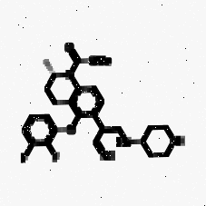 COC(=O)N1c2ccc(/C(C=N)=C/NC3CCNCC3)c(Oc3cccc(F)c3F)c2CC[C@@H]1C